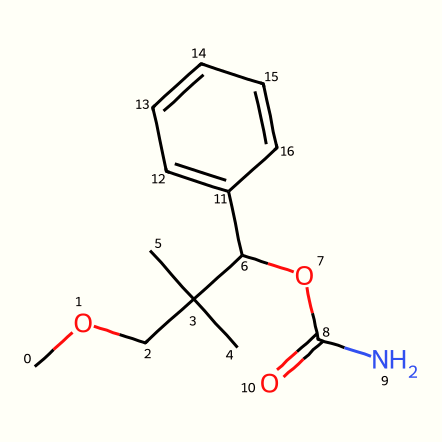 COCC(C)(C)C(OC(N)=O)c1ccccc1